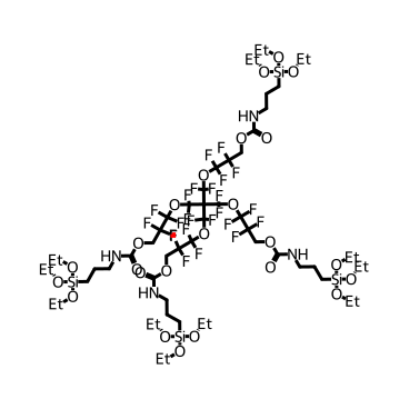 CCO[Si](CCCNC(=O)OCC(F)(F)C(F)(F)OC(F)(F)C(C(F)(F)OC(F)(F)C(F)(F)COC(=O)NCCC[Si](OCC)(OCC)OCC)(C(F)(F)OC(F)(F)C(F)(F)COC(=O)NCCC[Si](OCC)(OCC)OCC)C(F)(F)OC(F)(F)C(F)(F)COC(=O)NCCC[Si](OCC)(OCC)OCC)(OCC)OCC